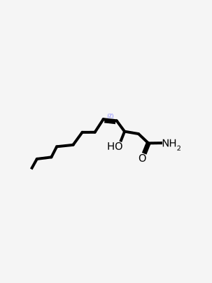 CCCCCCC/C=C\C(O)CC(N)=O